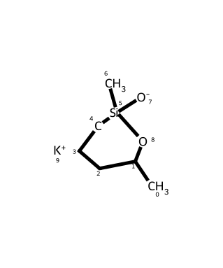 CC1CCC[Si](C)([O-])O1.[K+]